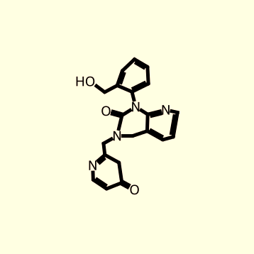 O=C1C=CN=C(CN2Cc3cccnc3N(c3ccccc3CO)C2=O)C1